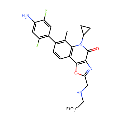 CCOC(=O)CNCc1nc2c(=O)n(C3CC3)c3c(C)c(-c4cc(F)c(N)cc4F)ccc3c2o1